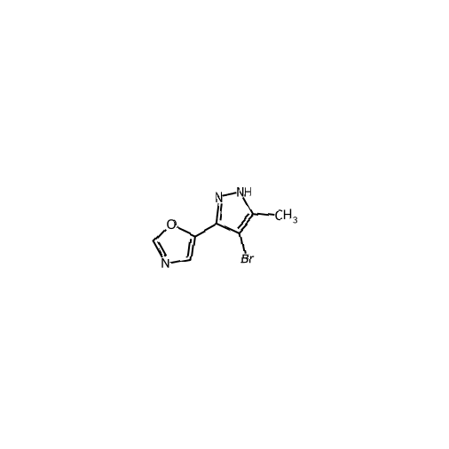 Cc1[nH]nc(-c2cnco2)c1Br